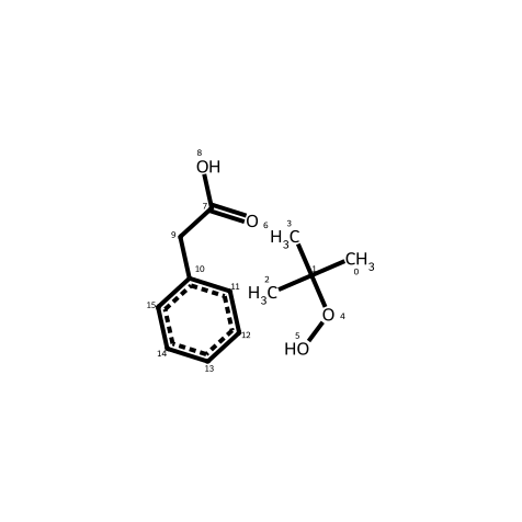 CC(C)(C)OO.O=C(O)Cc1ccccc1